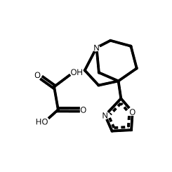 O=C(O)C(=O)O.c1coc(C23CCCN(CC2)C3)n1